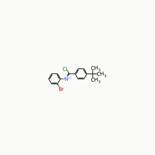 CC(C)(C)c1ccc(/C(Cl)=N/c2ccccc2Br)cc1